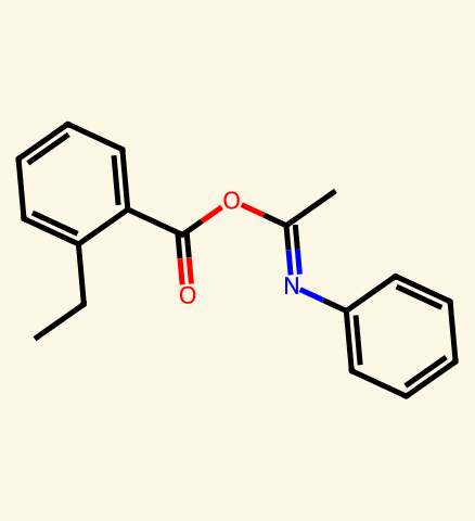 CCc1ccccc1C(=O)OC(C)=Nc1ccccc1